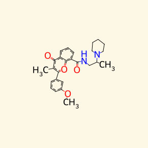 COc1cccc(-c2oc3c(C(=O)NCC(C)N4CCCCC4)cccc3c(=O)c2C)c1